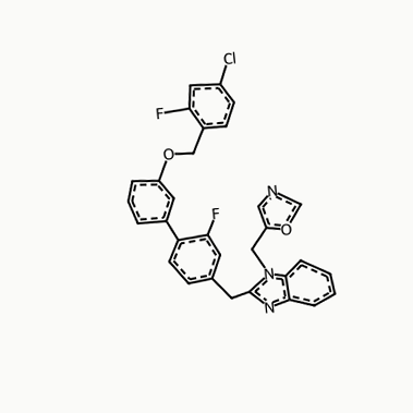 Fc1cc(Cl)ccc1COc1cccc(-c2ccc(Cc3nc4ccccc4n3Cc3cnco3)cc2F)c1